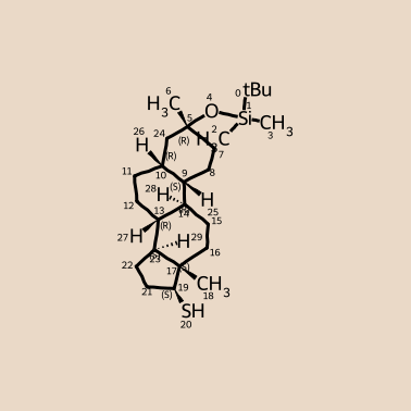 CC(C)(C)[Si](C)(C)O[C@]1(C)CC[C@H]2[C@H](CC[C@@H]3[C@@H]2CC[C@]2(C)[C@@H](S)CC[C@@H]32)C1